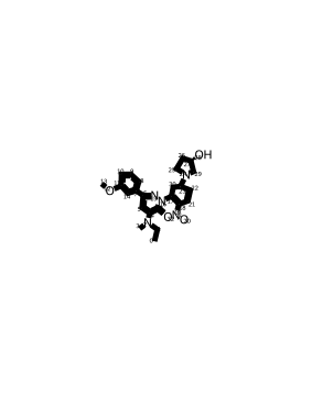 CCN(C)c1cc(-c2cccc(OC)c2)nn(C2=C(N=O)C=CC(N3CC[C@@H](O)C3)C2)c1=O